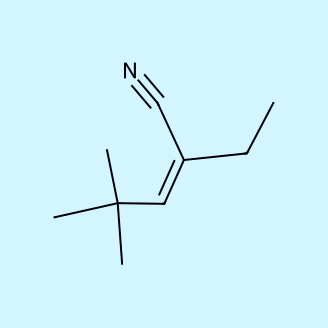 CC/C(C#N)=C/C(C)(C)C